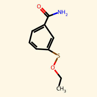 CCOSc1cccc(C(N)=O)c1